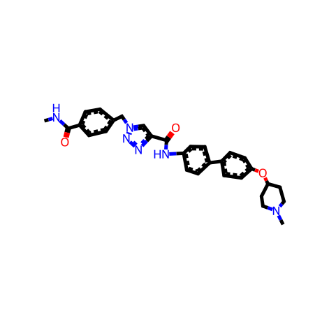 CNC(=O)c1ccc(Cn2cc(C(=O)Nc3ccc(-c4ccc(OC5CCN(C)CC5)cc4)cc3)nn2)cc1